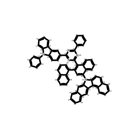 c1ccc(-c2nc(-c3ccc4c(c3)c3ccccc3n4-c3ccccc3)nc(-c3c(-c4cccc5ccccc45)cc(-n4c5cc6ccccc6cc5c5c6ccccc6ccc54)c4ccccc34)n2)cc1